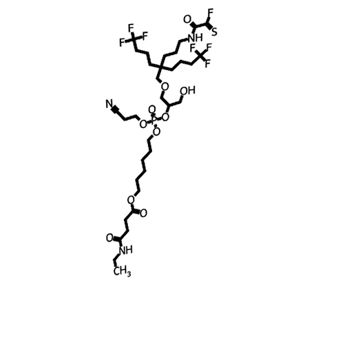 CCNC(=O)CCC(=O)OCCCCCCOP(=O)(OCCC#N)OC(CO)COCC(CCCNC(=O)C(F)=S)(CCCC(F)(F)F)CCCC(F)(F)F